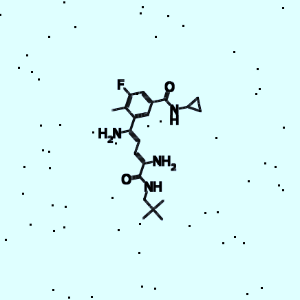 Cc1c(F)cc(C(=O)NC2CC2)cc1/C(N)=C/C=C(\N)C(=O)NCC(C)(C)C